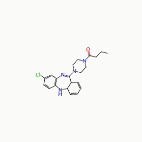 CCCC(=O)N1CCN(C2=Nc3cc(Cl)ccc3NC3C=CC=CC23)CC1